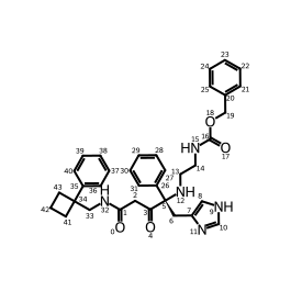 O=C(CC(=O)[C@@](Cc1c[nH]cn1)(NCCNC(=O)OCc1ccccc1)c1ccccc1)NCC1(c2ccccc2)CCC1